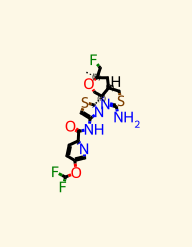 C[C@]1(CF)C[C@H]2CSC(N)=N[C@@]2(c2nc(NC(=O)c3ccc(OC(F)F)cn3)cs2)CO1